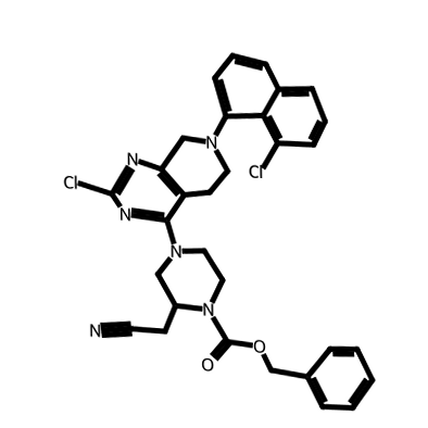 N#CCC1CN(c2nc(Cl)nc3c2CCN(c2cccc4cccc(Cl)c24)C3)CCN1C(=O)OCc1ccccc1